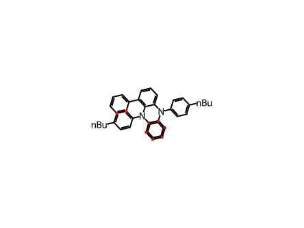 CCCCc1ccc(N(c2ccccc2)c2cccc(-c3ccccc3)c2N(c2ccccc2)c2ccc(CCCC)cc2)cc1